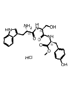 COC(=O)[C@H](Cc1ccc(O)cc1)NC(=O)[C@H](CO)NC(=O)[C@@H](N)Cc1c[nH]c2ccccc12.Cl